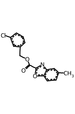 Cc1ccc2oc(C(=O)OCc3cccc(Cl)c3)nc2c1